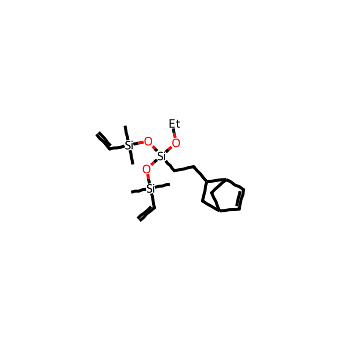 C=C[Si](C)(C)O[Si](CCC1CC2C=CC1C2)(OCC)O[Si](C)(C)C=C